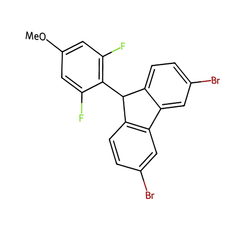 COc1cc(F)c(C2c3ccc(Br)cc3-c3cc(Br)ccc32)c(F)c1